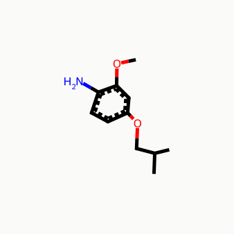 COc1cc(OCC(C)C)ccc1N